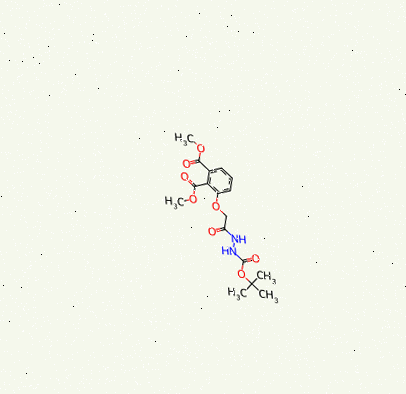 COC(=O)c1cccc(OCC(=O)NNC(=O)OC(C)(C)C)c1C(=O)OC